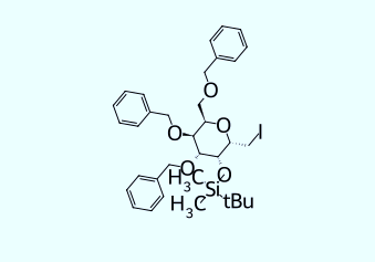 CC(C)(C)[Si](C)(C)O[C@@H]1[C@H](OCc2ccccc2)[C@@H](OCc2ccccc2)[C@@H](COCc2ccccc2)O[C@@H]1CI